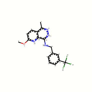 COc1ccc2c(C)nnc(NCc3cccc(C(F)(F)F)c3)c2n1